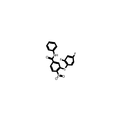 O=C(Nc1ccccc1)c1ccc([N+](=O)[O-])c(Sc2ccc(F)cc2F)c1